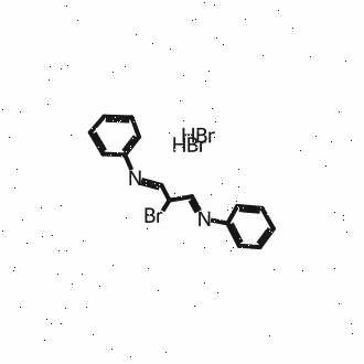 Br.Br.BrC(C=Nc1ccccc1)C=Nc1ccccc1